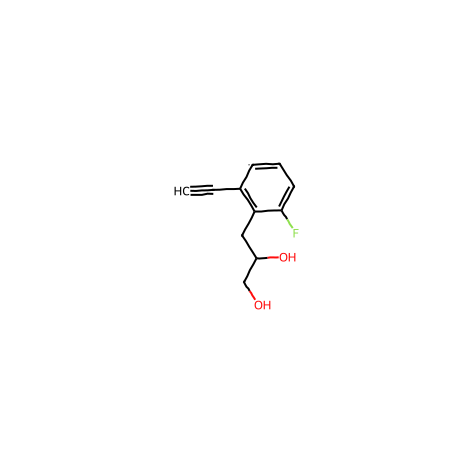 C#Cc1[c]ccc(F)c1CC(O)CO